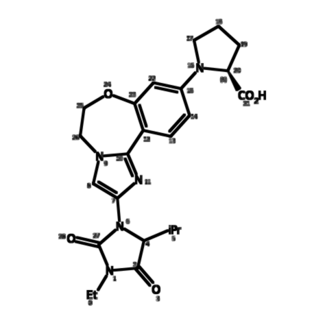 CCN1C(=O)C(C(C)C)N(c2cn3c(n2)-c2ccc(N4CCC[C@H]4C(=O)O)cc2OCC3)C1=O